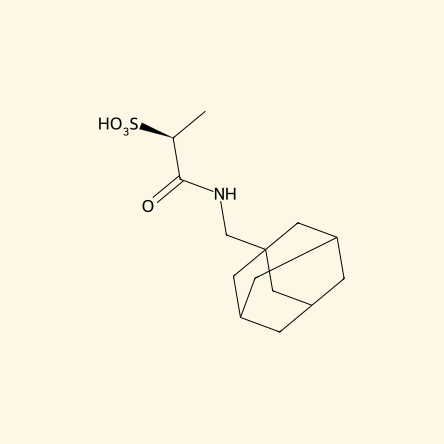 C[C@@H](C(=O)NCC12CC3CC(CC(C3)C1)C2)S(=O)(=O)O